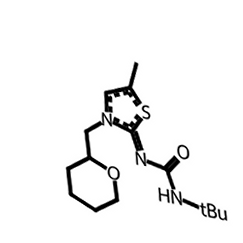 Cc1cn(CC2CCCCO2)c(=NC(=O)NC(C)(C)C)s1